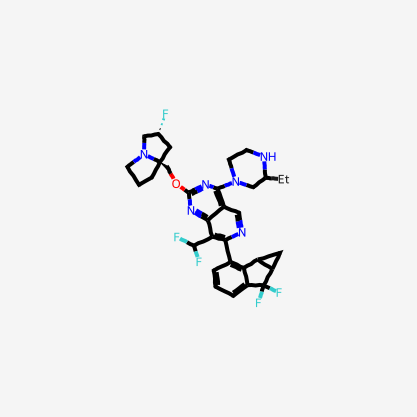 CCC1CN(c2nc(OC[C@@]34CCCN3C[C@H](F)C4)nc3c(C(F)F)c(-c4cccc5c4C4CC4C5(F)F)ncc23)CCN1